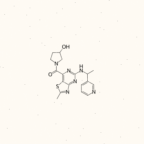 Cc1nc2nc(NC(C)c3cccnc3)nc(C(=O)N3CCC(O)C3)c2s1